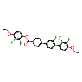 CCOc1ccc(OC(=O)C2CC=C(c3ccc(-c4ccc(OCC)c(F)c4F)c(F)c3)CC2)c(F)c1F